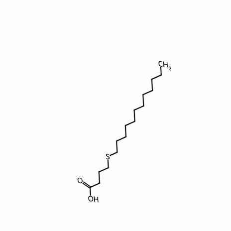 CCCCCCCCCCCCSCCCC(=O)O